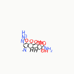 CN(C)c1cc2nc(N)oc2c2c1C[C@H]1C[C@H]3CC(O)=C(C(N)=O)C(=O)[C@@]3(O)C(O)=C1C2=O